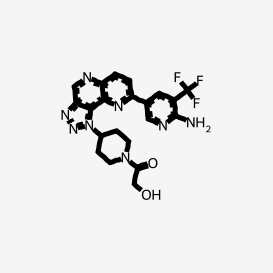 Nc1ncc(-c2ccc3ncc4nnn(C5CCN(C(=O)CO)CC5)c4c3n2)cc1C(F)(F)F